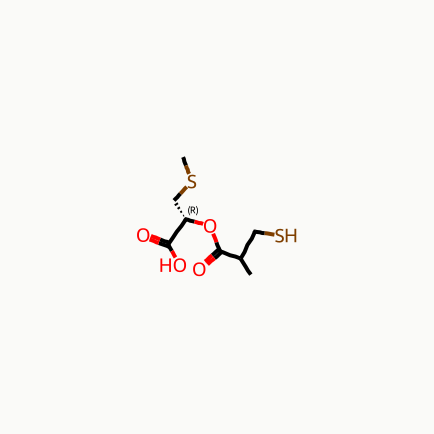 CSC[C@H](OC(=O)C(C)CS)C(=O)O